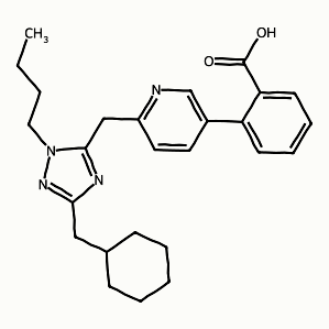 CCCCn1nc(CC2CCCCC2)nc1Cc1ccc(-c2ccccc2C(=O)O)cn1